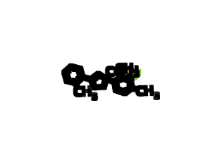 Cc1ccccc1C1=CC(C(=O)O)(c2ccc(C)c(F)c2C)CC1